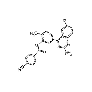 Cc1ccc(-c2nc(N)nc3ccc(Cl)cc23)cc1NC(=O)c1ccc(C#N)cc1